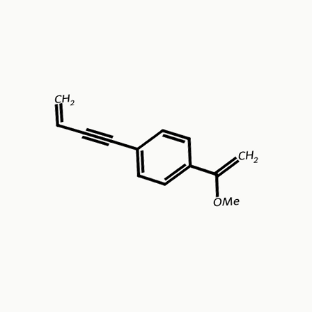 C=CC#Cc1ccc(C(=C)OC)cc1